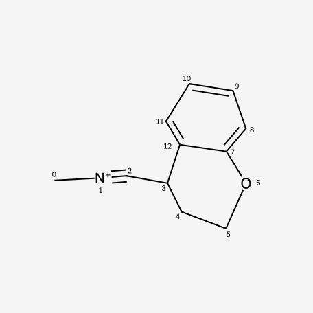 C[N+]#CC1CCOc2ccccc21